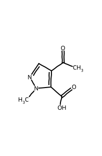 CC(=O)c1cnn(C)c1C(=O)O